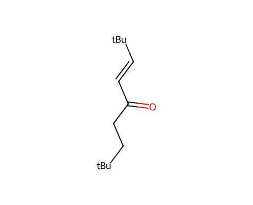 CC(C)(C)/C=C/C(=O)CCC(C)(C)C